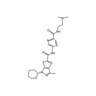 Cc1nn(C2CCCCO2)c2sc(C(=O)Nc3ccc(C(=O)NCCN(C)C)nc3)cc12